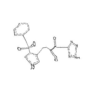 O=C(Cc1c[nH]cc1S(=O)(=O)c1ccccc1)C(=O)c1nn[nH]n1